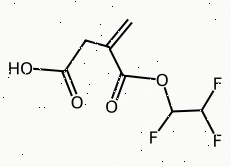 C=C(CC(=O)O)C(=O)OC(F)C(F)F